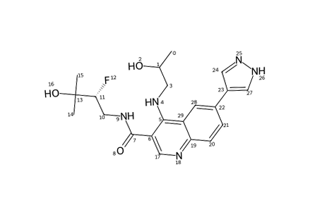 CC(O)CNc1c(C(=O)NC[C@@H](F)C(C)(C)O)cnc2ccc(-c3cn[nH]c3)cc12